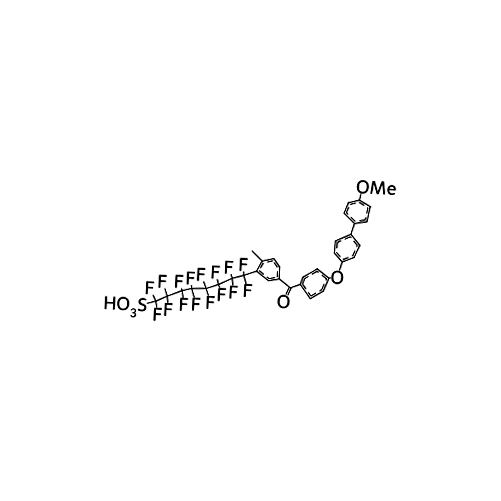 COc1ccc(-c2ccc(Oc3ccc(C(=O)c4ccc(C)c(C(F)(F)C(F)(F)C(F)(F)C(F)(F)C(F)(F)C(F)(F)C(F)(F)C(F)(F)S(=O)(=O)O)c4)cc3)cc2)cc1